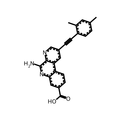 Cc1ccc(C#Cc2cnc3c(N)nc4cc(C(=O)O)ccc4c3c2)c(C)c1